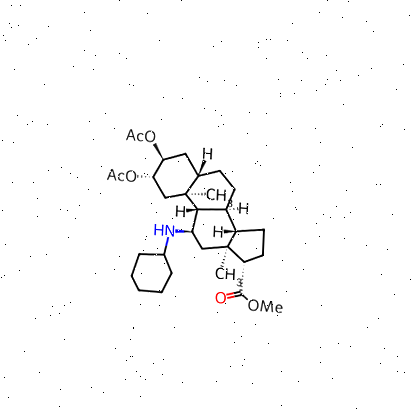 COC(=O)[C@H]1CC[C@H]2[C@@H]3CC[C@H]4C[C@H](OC(C)=O)[C@@H](OC(C)=O)C[C@]4(C)[C@H]3[C@H](NC3CCCCC3)C[C@]12C